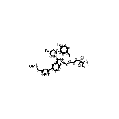 COCc1nnc(-c2cnc3c(c2)c(N2C[C@@H](F)C[C@@H]2c2cc(F)ccc2F)nn3COCC[Si](C)(C)C)o1